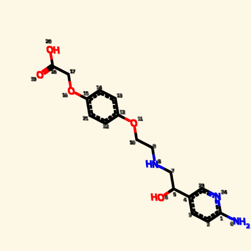 Nc1ccc(C(O)CNCCOc2ccc(OCC(=O)O)cc2)cn1